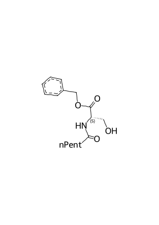 CCCCCC(=O)N[C@@H](CO)C(=O)OCc1ccccc1